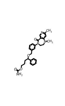 Cc1cc2c(cn1)C(=O)N(c1cccc(COC(CCCOC(N)=O)c3ccccc3)c1)CCN2C